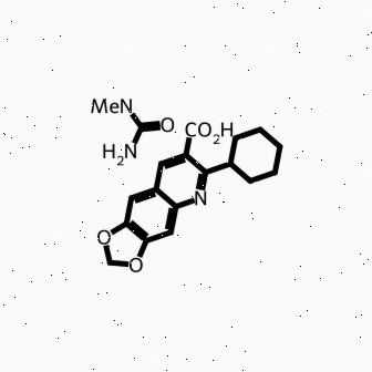 CNC(N)=O.O=C(O)c1cc2cc3c(cc2nc1C1CCCCC1)OCO3